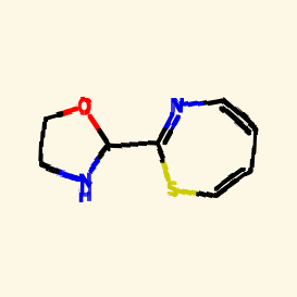 C1=CN=C([C]2NCCO2)SC=C1